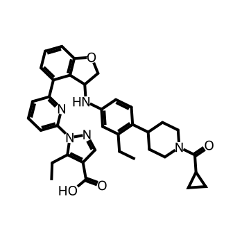 CCc1cc(NC2COc3cccc(-c4cccc(-n5ncc(C(=O)O)c5CC)n4)c32)ccc1C1CCN(C(=O)C2CC2)CC1